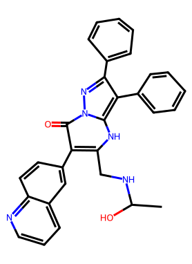 CC(O)NCc1[nH]c2c(-c3ccccc3)c(-c3ccccc3)nn2c(=O)c1-c1ccc2ncccc2c1